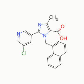 Cc1nc(-c2cncc(Cl)c2)n(Cc2cccc3ccccc23)c1C(=O)O